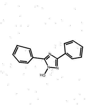 On1nc(-c2ccccc2)nc1-c1ccccc1